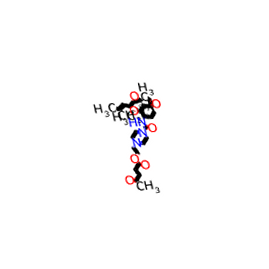 CO[C@H]1[C@H](C2(C)OC2CC=C(C)C)[C@]2(CC[C@H]1NC(=O)N1CCN(CCOC(=O)CCC(C)=O)CC1)CO2